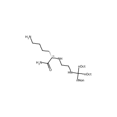 CCCCCCCCCC(CCCCCCCC)(CCCCCCCC)NCCN[C@@H](CCCCN)C(N)=O